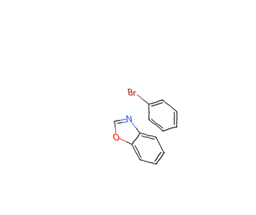 Brc1ccccc1.c1ccc2ocnc2c1